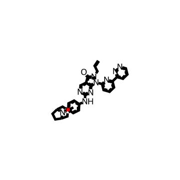 C=CCn1c(=O)c2cnc(Nc3ccc(N4C5CCC4CN(C)C5)cc3)nc2n1-c1cccc(-c2cccnn2)n1